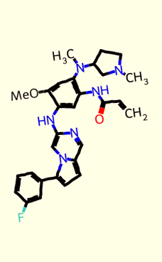 C=CC(=O)Nc1cc(Nc2cn3c(-c4cccc(F)c4)ccc3cn2)c(OC)cc1N(C)C1CCN(C)C1